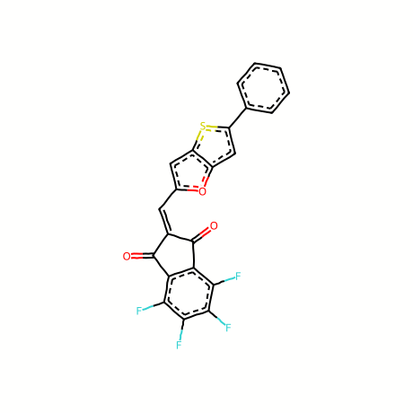 O=C1C(=Cc2cc3sc(-c4ccccc4)cc3o2)C(=O)c2c(F)c(F)c(F)c(F)c21